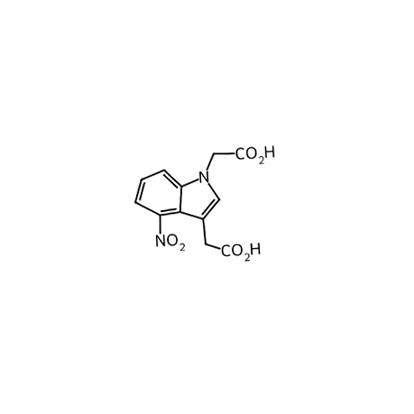 O=C(O)Cc1cn(CC(=O)O)c2cccc([N+](=O)[O-])c12